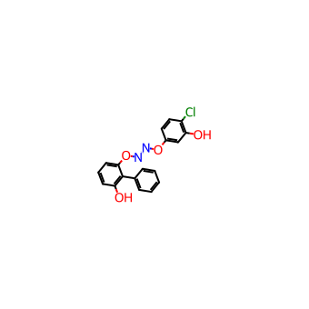 Oc1cc(ON=NOc2cccc(O)c2-c2ccccc2)ccc1Cl